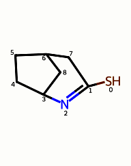 SC1=NC2CCC(C1)C2